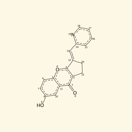 O=c1c2c(oc3ccc(O)cc13)C(=Cc1ccccn1)CC2